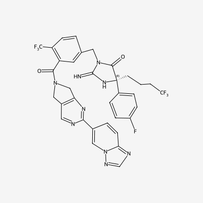 N=C1N[C@](CCCC(F)(F)F)(c2ccc(F)cc2)C(=O)N1Cc1ccc(C(F)(F)F)c(C(=O)N2Cc3cnc(-c4ccc5ncnn5c4)nc3C2)c1